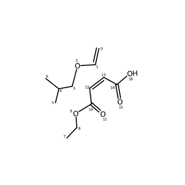 C=COCC(C)C.CCOC(=O)/C=C\C(=O)O